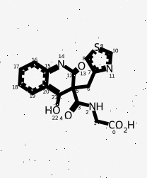 O=C(O)CNC(=O)C1(Cc2cscn2)C(=O)N=c2ccccc2=C1O